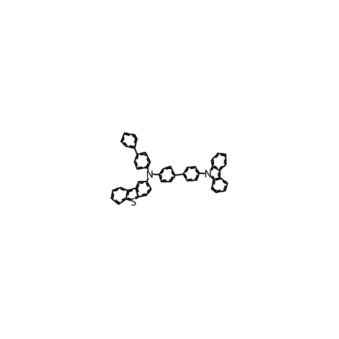 c1ccc(-c2ccc(N(c3ccc(-c4ccc(-n5c6ccccc6c6ccccc65)cc4)cc3)c3ccc4sc5ccccc5c4c3)cc2)cc1